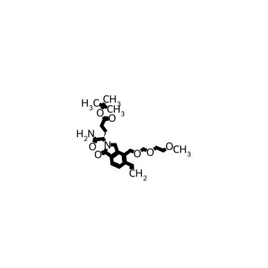 C=Cc1ccc2c(c1COCOCCOC)CN([C@@H](CCC(=O)OC(C)(C)C)C(N)=O)C2=O